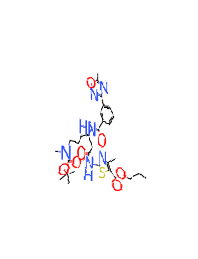 CCCOC(=O)c1sc(NC(=O)CC(CCCN(C)C(=O)OC(C)(C)C)NC(=O)c2cccc(-c3noc(C)n3)c2)nc1C